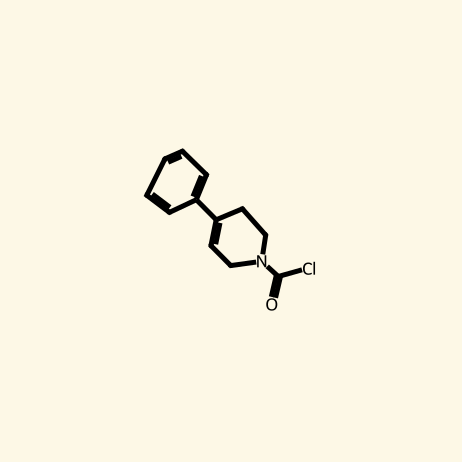 O=C(Cl)N1CC=C(c2ccccc2)CC1